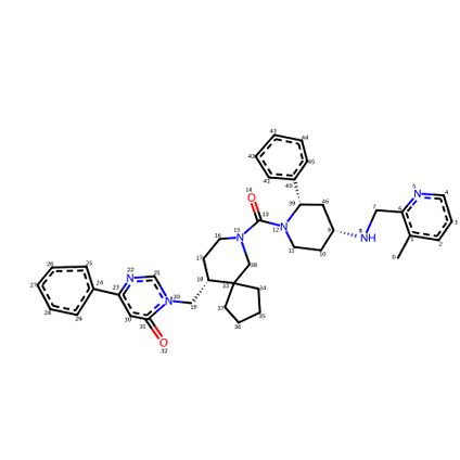 Cc1cccnc1CN[C@@H]1CCN(C(=O)N2CC[C@@H](Cn3cnc(-c4ccccc4)cc3=O)C3(CCCC3)C2)[C@H](c2ccccc2)C1